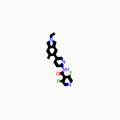 CCn1cc2cc(C)c(-c3ccc(NC(=O)c4c(F)cncc4F)nc3)cc2c1